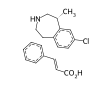 C[C@H]1CNCCc2ccc(Cl)cc21.O=C(O)/C=C/c1ccccc1